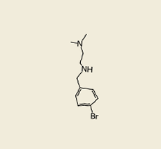 CN(C)CCNCc1ccc(Br)cc1